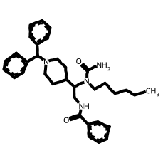 CCCCCCN(C(N)=O)C(CNC(=O)c1ccccc1)C1CCN(C(c2ccccc2)c2ccccc2)CC1